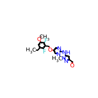 CCc1cc(OC)c(F)c(COc2cnc(Nc3cc(C=O)nn3C)nc2)c1F